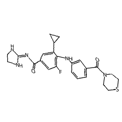 O=C(N=C1NCCN1)c1cc(F)c(Nc2cccc(C(=O)N3CCSCC3)c2)c(C2CC2)c1